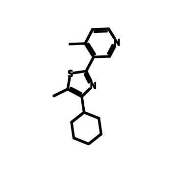 Cc1ccncc1-c1nc(C2CCCCC2)c(C)s1